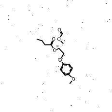 CCCC(=O)O[C@H](COC=O)COc1ccc(OC)cc1